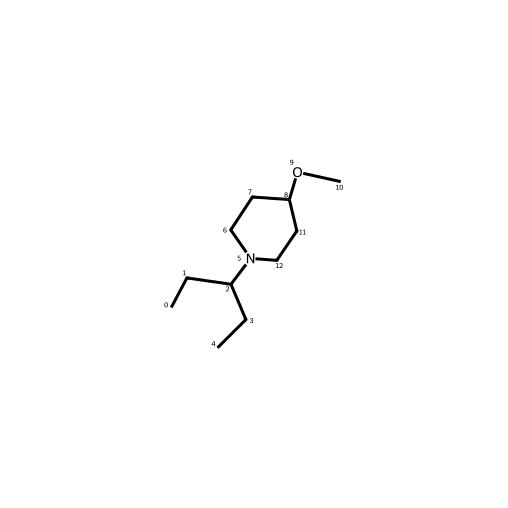 CCC(CC)N1CCC(OC)CC1